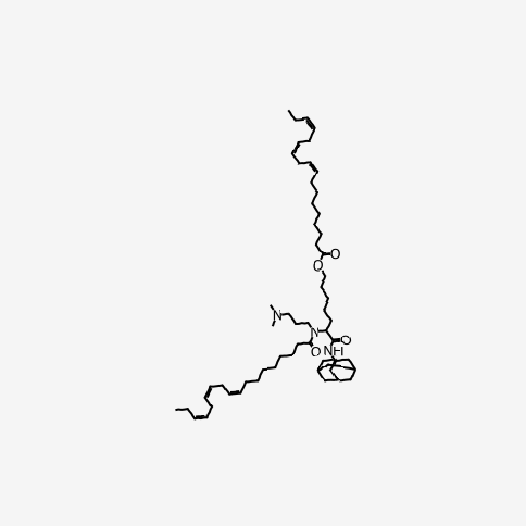 CC/C=C\C/C=C\C/C=C\CCCCCCCC(=O)OCCCCCC(C(=O)NC12CC3CC(CC(C3)C1)C2)N(CCCN(C)C)C(=O)CCCCCCC/C=C\C/C=C\C/C=C\CC